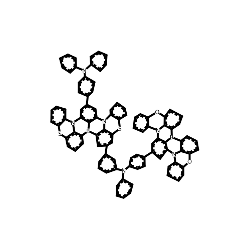 c1ccc(N(c2ccccc2)c2ccc(-c3cc4c5c(c3)N3c6ccccc6Sc6cc(-c7cccc(N(c8ccccc8)c8ccc(-c9cc%10c%11c(c9)N9c%12ccccc%12Oc%12cccc(c%129)B%11c9cccc%11c9N%10c9ccccc9O%11)cc8)c7)cc(c63)B5c3cccc5c3N4c3ccccc3S5)cc2)cc1